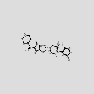 Cn1c(C(=O)N2CCOCC2)nc2c1CN([C@H]1CO[C@H](c3cc(F)ccc3F)[C@@H](N)C1)C2